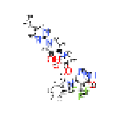 O=C1[C@H](OCC2c3ccccc3CN2c2cn[nH]c(=O)c2C(F)(F)F)CCN1[C@@H]1CCN(c2ncc(C3CC3)cn2)C[C@H]1O